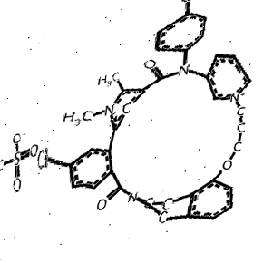 Cc1c2cc(n1C)-c1cc(Cl)ccc1C(=O)N1CCc3c(cccc3OCCC[n+]3cccc(c3)N(c3ccc(O)cc3)C2=O)C1.O=S(=O)([O-])C(F)(F)F